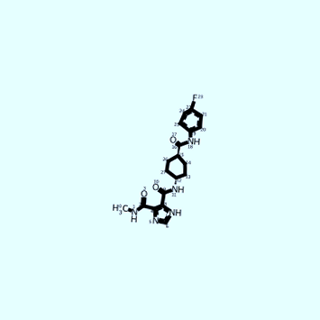 CNC(=O)c1nc[nH]c1C(=O)N[C@H]1CC[C@H](C(=O)Nc2ccc(F)cc2)CC1